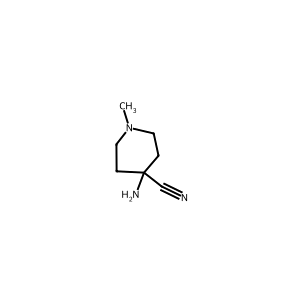 CN1CCC(N)(C#N)CC1